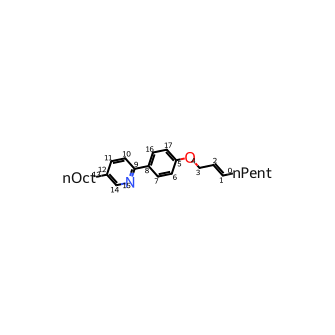 CCCCCC=CCOc1ccc(-c2ccc(CCCCCCCC)cn2)cc1